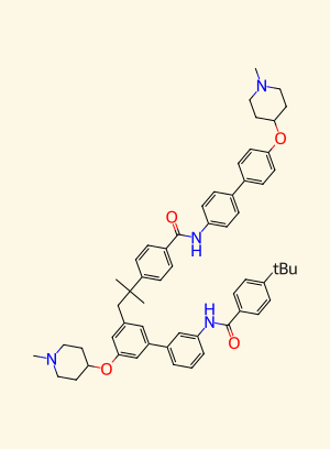 CN1CCC(Oc2ccc(-c3ccc(NC(=O)c4ccc(C(C)(C)Cc5cc(OC6CCN(C)CC6)cc(-c6cccc(NC(=O)c7ccc(C(C)(C)C)cc7)c6)c5)cc4)cc3)cc2)CC1